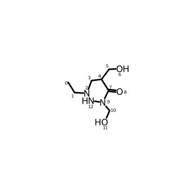 CCN1CC(CO)C(=O)N(CO)N1